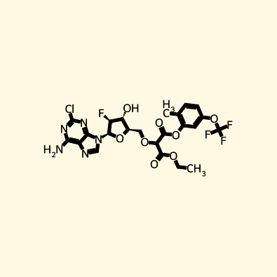 CCOC(=O)C(OC[C@H]1O[C@@H](n2cnc3c(N)nc(Cl)nc32)[C@@H](F)[C@@H]1O)C(=O)Oc1cc(OC(F)(F)F)ccc1C